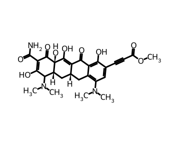 COC(=O)C#Cc1cc(N(C)C)c2c(c1O)C(=O)C1=C(O)[C@@]3(O)C(=O)C(C(N)=O)=C(O)C(N(C)C)[C@H]3C[C@H]1C2